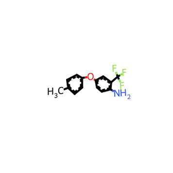 Cc1ccc(Oc2ccc(N)c(C(F)(F)F)c2)cc1